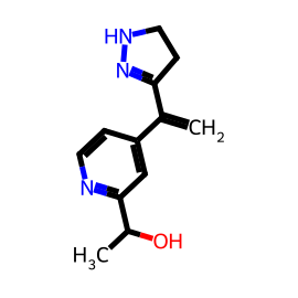 C=C(C1=NNCC1)c1ccnc(C(C)O)c1